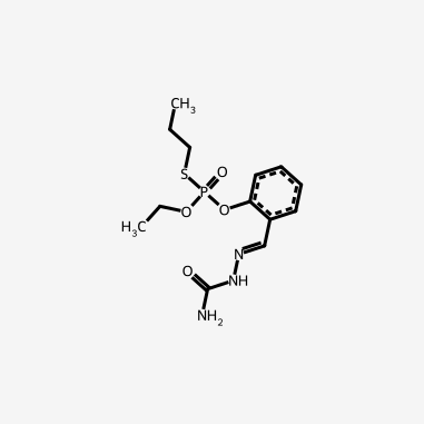 CCCSP(=O)(OCC)Oc1ccccc1C=NNC(N)=O